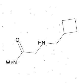 CNC(=O)CNCC1CCC1